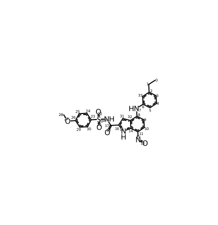 CCc1cccc(Nc2ccc(N=O)c3[nH]c(C(=O)NS(=O)(=O)c4ccc(OC)cc4)cc23)c1